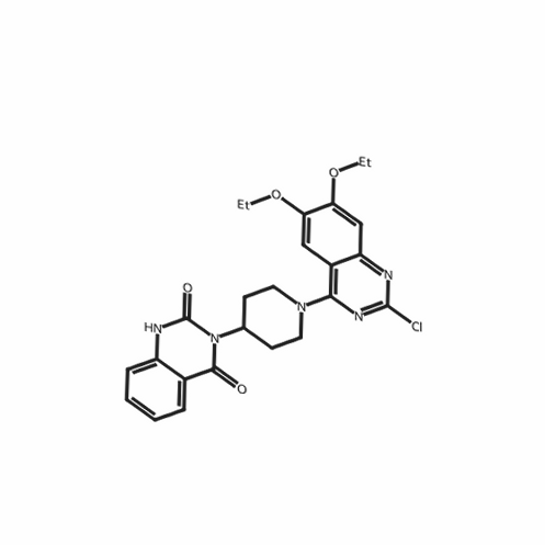 CCOc1cc2nc(Cl)nc(N3CCC(n4c(=O)[nH]c5ccccc5c4=O)CC3)c2cc1OCC